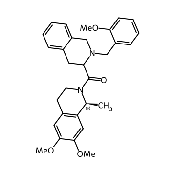 COc1ccccc1CN1Cc2ccccc2CC1C(=O)N1CCc2cc(OC)c(OC)cc2[C@@H]1C